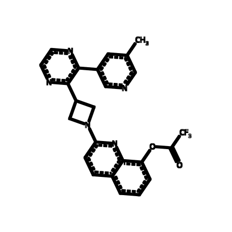 Cc1cncc(-c2nccnc2C2CN(c3ccc4cccc(OC(=O)C(F)(F)F)c4n3)C2)c1